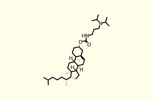 CC(C)CCC[C@@H](C)[C@H]1CC[C@H]2[C@@H]3CC=C4C[C@@H](OC(=O)NCCCN(C(C)C)C(C)C)CC[C@]4(C)[C@H]3CC[C@]12C